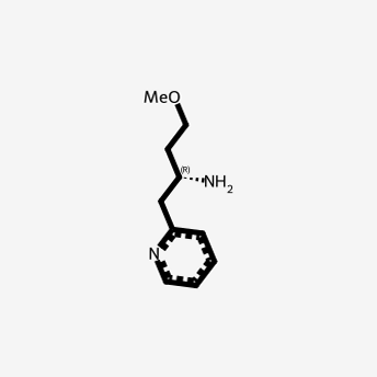 COCC[C@H](N)Cc1ccccn1